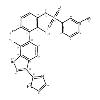 CC(C)c1cccc(S(=O)(=O)Nc2ccc(F)c(-c3ccc4c(-c5ncc[nH]5)n[nH]c4c3F)c2F)c1